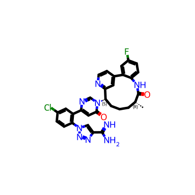 C[C@@H]1CCC[C@H](n2cnc(-c3cc(Cl)ccc3-n3cc(C(=N)N)nn3)cc2=O)c2cc(ccn2)-c2cc(F)ccc2NC1=O